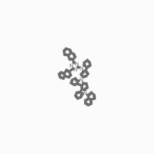 c1ccc2cc(-c3nc(-c4ccc5ccccc5c4)nc(-n4c5ccccc5c5ccc(-n6c7ccccc7c7c8c9ccccc9n(-c9cccc%10ccccc9%10)c8ccc76)cc54)n3)ccc2c1